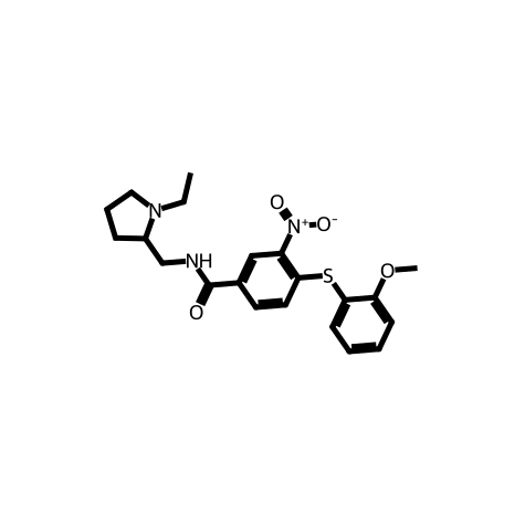 CCN1CCCC1CNC(=O)c1ccc(Sc2ccccc2OC)c([N+](=O)[O-])c1